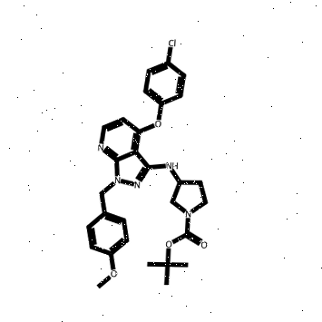 COc1ccc(Cn2nc(NC3CCN(C(=O)OC(C)(C)C)C3)c3c(Oc4ccc(Cl)cc4)ccnc32)cc1